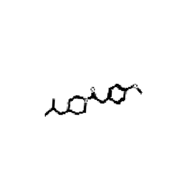 COc1ccc(CC(=O)N2CCC(CC(C)C)CC2)cc1